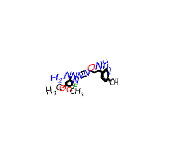 C#Cc1ccc(C(N)CC(=O)N2CCN(c3nc(N)c4cc(OC)c(OC)c(F)c4n3)CC2)cc1